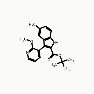 COc1ncccc1-c1c(C(=O)OC(C)(C)C)[nH]c2ccc(C)cc12